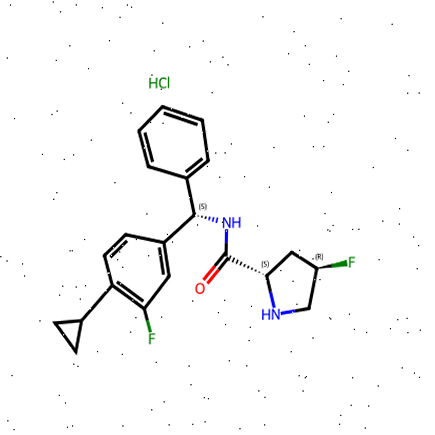 Cl.O=C(N[C@@H](c1ccccc1)c1ccc(C2CC2)c(F)c1)[C@@H]1C[C@@H](F)CN1